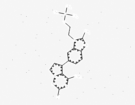 COc1nc(Cl)nn2ccc(-c3ccc4nc(C)n(CCO[Si](C)(C)C(C)(C)C)c4c3)c12